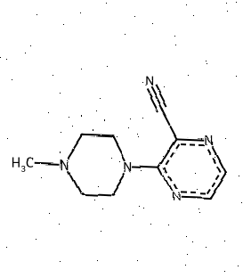 CN1CCN(c2nccnc2C#N)CC1